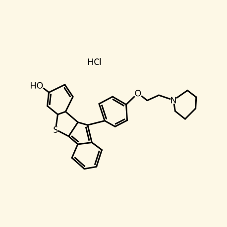 Cl.OC1=CC2SC3=c4ccccc4=C(c4ccc(OCCN5CCCCC5)cc4)C3C2C=C1